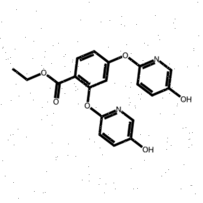 CCOC(=O)c1ccc(Oc2ccc(O)cn2)cc1Oc1ccc(O)cn1